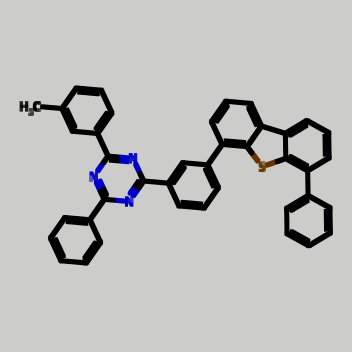 Cc1cccc(-c2nc(-c3ccccc3)nc(-c3cccc(-c4cccc5c4sc4c(-c6ccccc6)cccc45)c3)n2)c1